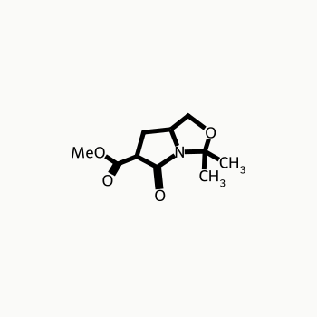 COC(=O)C1CC2COC(C)(C)N2C1=O